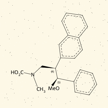 CO[C@H](c1ccccc1)[C@@H](CN(C)C(=O)O)c1ccc2ccccc2c1